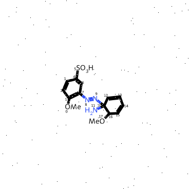 COc1ccc(S(=O)(=O)O)cc1/N=N/C1(N)C=CC=CC1OC